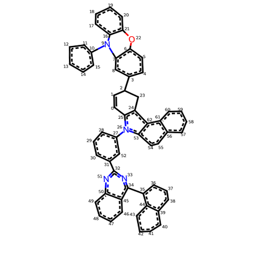 C1=CC(c2ccc3c(c2)N(c2ccccc2)c2ccccc2O3)Cc2c1n(-c1cccc(-c3nc(-c4cccc5ccccc45)c4ccccc4n3)c1)c1ccc3ccccc3c21